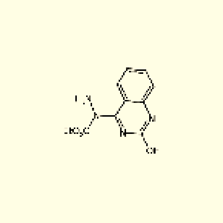 CCOC(=O)N(N)c1nc(O)nc2ccccc12